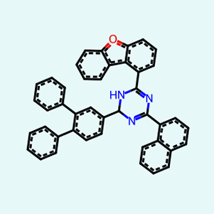 c1ccc(-c2ccc(C3N=C(c4cccc5ccccc45)N=C(c4cccc5oc6ccccc6c45)N3)cc2-c2ccccc2)cc1